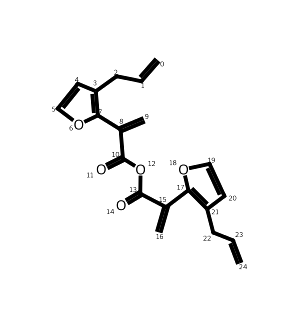 C=CCc1ccoc1C(=C)C(=O)OC(=O)C(=C)c1occc1CC=C